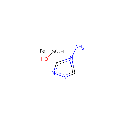 Nn1cnnc1.O=S(=O)(O)O.[Fe]